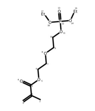 C=C(C)C(=O)OCCOCCOP(=O)(OCC)OCC